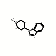 CC(=O)N1CCC(n2cnc3ccccc32)CC1